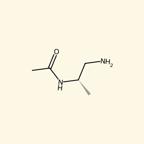 CC(=O)N[C@@H](C)CN